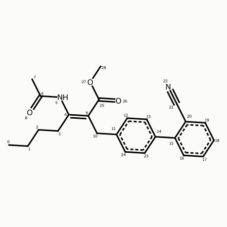 CCCC/C(NC(C)=O)=C(\Cc1ccc(-c2ccccc2C#N)cc1)C(=O)OC